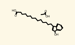 CC(=O)O.O=C(O)CCCCCCCCCCCCCC1=CC(O)c2ccccc21